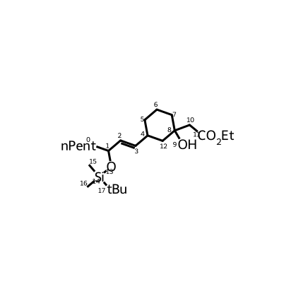 CCCCCC(/C=C/C1CCCC(O)(CC(=O)OCC)C1)O[Si](C)(C)C(C)(C)C